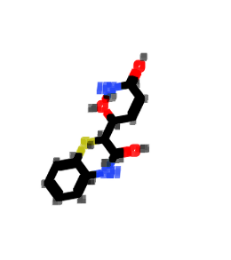 O=C1C=CC(C2Sc3cc[c]cc3NC2=O)ON1